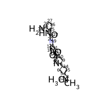 CN(C)Cc1ccc(-c2ccc(S(=O)(=O)n3ccc(/C=C/C(=O)Nc4ccccc4N)c3)cn2)cc1